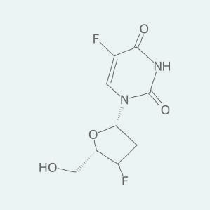 O=c1[nH]c(=O)n([C@@H]2CC(F)[C@H](CO)O2)cc1F